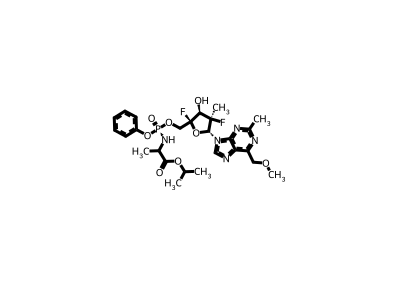 COCc1nc(C)nc2c1ncn2[C@@H]1O[C@](F)(CO[P@](=O)(NC(C)C(=O)OC(C)C)Oc2ccccc2)[C@@H](O)[C@@]1(C)F